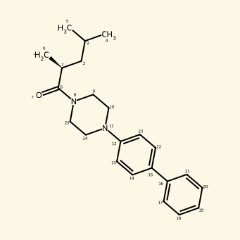 [CH2][C@@H](CC(C)C)C(=O)N1CCN(c2ccc(-c3ccccc3)cc2)CC1